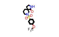 O=C1NCCC12CCCN(S(=O)(=O)c1ccc(OC(F)(F)F)cc1)C2